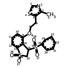 Cc1ncsc1CCOc1cccc2c1C(S(=O)(=O)c1ccccc1)CS2(=O)=O